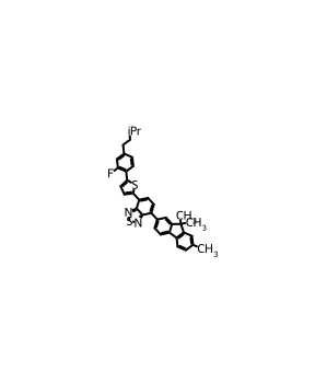 Cc1ccc2c(c1)C(C)(C)c1cc(-c3ccc(-c4ccc(-c5ccc(CCC(C)C)cc5F)s4)c4nsnc34)ccc1-2